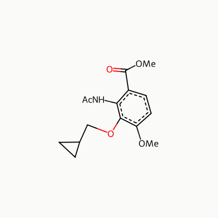 COC(=O)c1ccc(OC)c(OCC2CC2)c1NC(C)=O